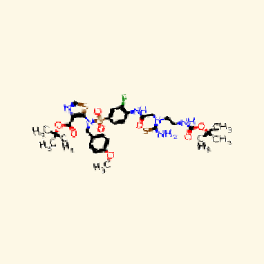 COc1ccc(CN(c2scnc2C(=O)OC(C)(C)C)S(=O)(=O)c2ccc(NC(=O)CN(CCNC(=O)OC(C)(C)C)C(N)=S)c(F)c2)cc1